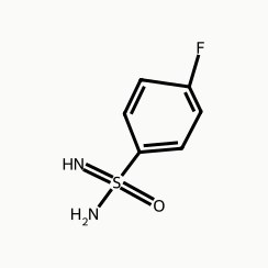 N=S(N)(=O)c1ccc(F)cc1